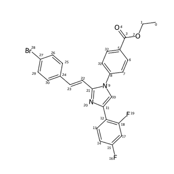 CCOC(=O)c1ccc(-n2cc(-c3ccc(F)cc3F)nc2C=Cc2ccc(Br)cc2)cc1